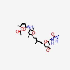 CNC(=O)NC[C@@H]1C[C@@]2(CO2)C[C@@H](/C=C/C(C)=C/C[C@@H]2O[C@H](C)[C@H](NC(=O)/C=C\[C@H](C)OC(C)=O)C[C@@H]2C)O1